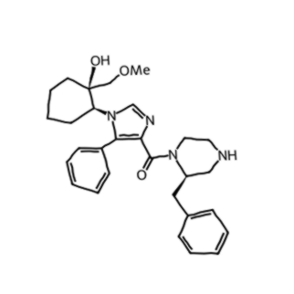 COC[C@@]1(O)CCCC[C@@H]1n1cnc(C(=O)N2CCNC[C@H]2Cc2ccccc2)c1-c1ccccc1